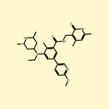 CCN(c1cc(-c2ccc(OC)nc2)cc(C(=O)NCc2c(C)cc(C)[nH]c2=O)c1C)C1CC(C)N[C@H](C)C1